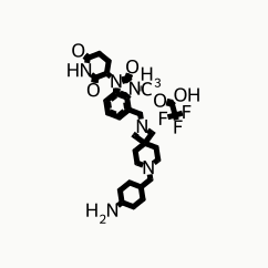 Cn1c(=O)n(C2CCC(=O)NC2=O)c2cccc(CN3CC4(CCN(CC5CCC(N)CC5)CC4)C3)c21.O=C(O)C(F)(F)F